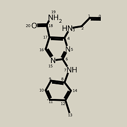 C=CCNc1nc(Nc2cc[c]c(C)c2)ncc1C(N)=O